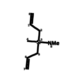 C=CC[Si](C)(CC=C)NC